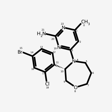 Cc1cc(N2CCCOC[C@@H]2c2ccc(Br)cc2Cl)nc(N)n1